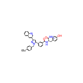 CC(C)(C)c1ccc(Cn2nc(-c3cnc4ccccc4c3)cc2-c2cccc(C(=O)NC(Cc3ccc(O)cc3)C(N)=O)c2)cc1